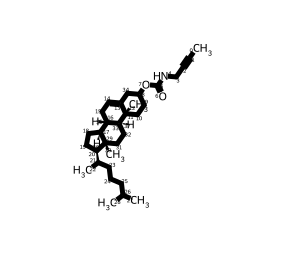 CC#CCNC(=O)OC1CC[C@@]2(C)C(=CC[C@H]3[C@@H]4CC[C@H](C(C)CCCC(C)C)[C@@]4(C)CC[C@@H]32)C1